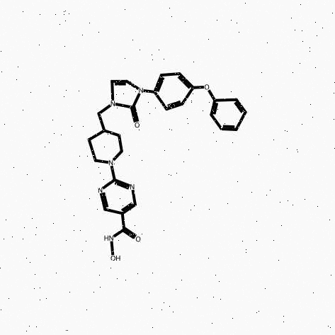 O=C(NO)c1cnc(N2CCC(Cn3ccn(-c4ccc(Oc5ccccc5)cc4)c3=O)CC2)nc1